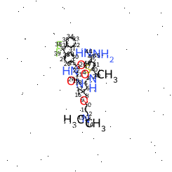 C[C@@H](NC(=O)C1CC2(COCCCN(C)C)CC2N1C(=O)CNC(=O)c1ccc2c(c1)-c1ccccc1C2(F)F)c1cc(C(=N)N)cs1